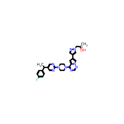 CC(c1ccc(F)cc1)c1cnc(N2CCN(c3ncnn4cc(-c5cnn(C[C@H](C)O)c5)cc34)CC2)nc1